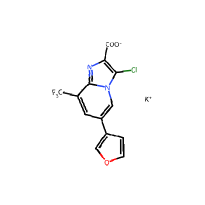 O=C([O-])c1nc2c(C(F)(F)F)cc(-c3ccoc3)cn2c1Cl.[K+]